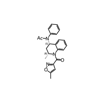 CC(=O)N(c1ccccc1)[C@H]1C[C@@H](C)N(C(=O)c2cc(C)on2)c2ccccc21